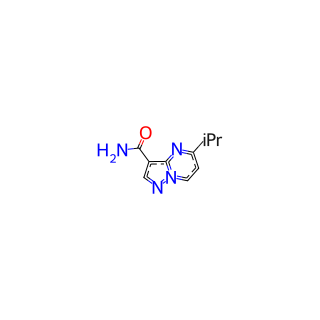 CC(C)c1ccn2ncc(C(N)=O)c2n1